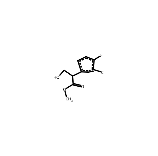 COC(=O)C(CO)c1ccc(F)c(Cl)c1